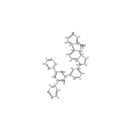 c1ccc(-c2nc(-c3ccccc3)nc(-c3cccc(-n4ccc5c6[nH]c7ccccc7c6ccc54)c3)n2)cc1